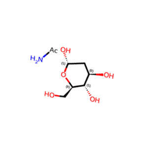 CC(N)=O.OC[C@H]1O[C@H](O)C[C@@H](O)[C@@H]1O